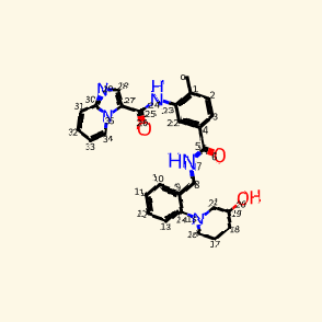 Cc1ccc(C(=O)NCc2ccccc2N2CCCC(O)C2)cc1NC(=O)c1cnc2ccccn12